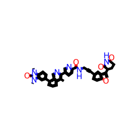 Cc1c(-c2ccc(C(=O)NCC#Cc3ccc4occ(C5CCC(=O)NC5=O)c4c3)nc2)ncc2c(-c3ccc4c(c3)n(C)c(=O)n4C)cccc12